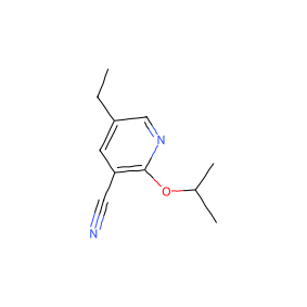 CCc1cnc(OC(C)C)c(C#N)c1